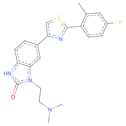 Cc1cc(F)ccc1-c1nc(-c2ccc3[nH]c(=O)n(CCN(C)C)c3c2)cs1